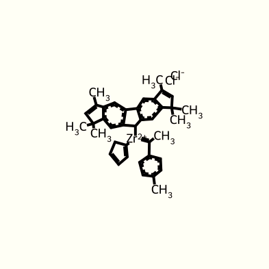 CC1=CC(C)(C)c2cc3c(cc21)-c1cc2c(cc1[CH]3/[Zr+2]([C]1=CC=CC1)=[C](\C)c1ccc(C)cc1)C(C)(C)C=C2C.[Cl-].[Cl-]